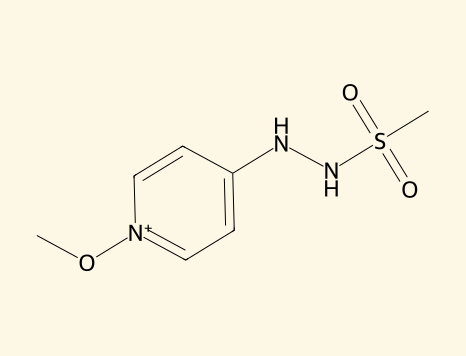 CO[n+]1ccc(NNS(C)(=O)=O)cc1